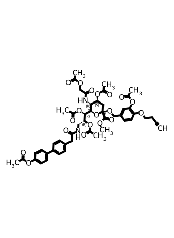 C#CCCOc1ccc(CO[C@]2(C(=O)OC)C[C@H](OC(C)=O)[C@@H](NC(=O)COC(C)=O)[C@H]([C@H](OC(C)=O)[C@@H](CNC(=O)Cc3ccc(-c4ccc(OC(C)=O)cc4)cc3)OC(C)=O)O2)cc1OC(C)=O